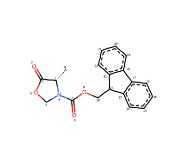 C[C@H]1C(=O)OCN1C(=O)OCC1c2ccccc2-c2ccccc21